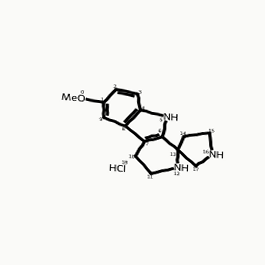 COc1ccc2[nH]c3c(c2c1)CCNC31CCNC1.Cl